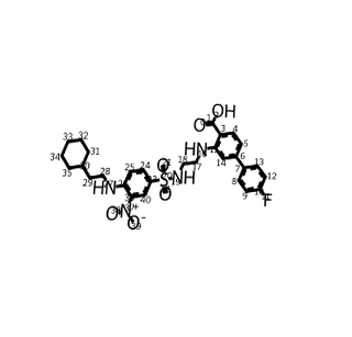 O=C(O)c1ccc(-c2ccc(F)cc2)cc1NCCNS(=O)(=O)c1ccc(NCCC2CCCCC2)c([N+](=O)[O-])c1